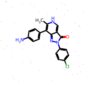 Cc1[nH]cc2c(=O)n(-c3ccc(Cl)cc3)nc-2c1-c1ccc(N)cc1